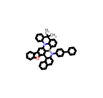 CC1(C)c2ccccc2N2c3cc4c(oc5ccccc54)c4c3B(c3cccc1c32)N(c1ccc(-c2ccccc2)cc1)c1ccc2ccccc2c1-4